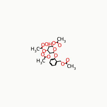 CC(=O)OCc1ccccc1O[C@@H]1O[C@H](OC(C)=O)[C@@H](O)[C@H](OC(C)=O)[C@H]1OC(C)=O